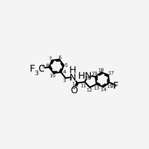 O=C(NCc1cccc(C(F)(F)F)c1)C1Cc2cc(F)ccc2N1